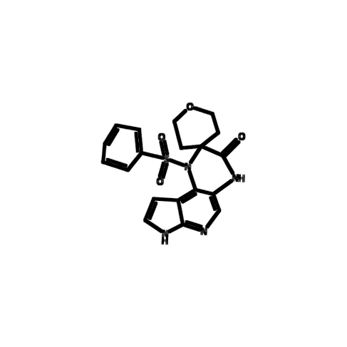 O=C1Nc2cnc3[nH]ccc3c2N(S(=O)(=O)c2ccccc2)C12CCOCC2